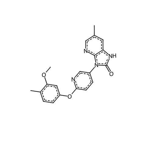 COc1cc(Oc2ccc(-n3c(=O)[nH]c4cc(C)cnc43)cn2)ccc1C